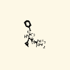 NC(N)=NOC(NC(=O)OCc1ccccc1)C1CC1